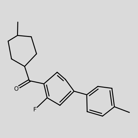 Cc1ccc(-c2ccc(C(=O)C3CCC(C)CC3)c(F)c2)cc1